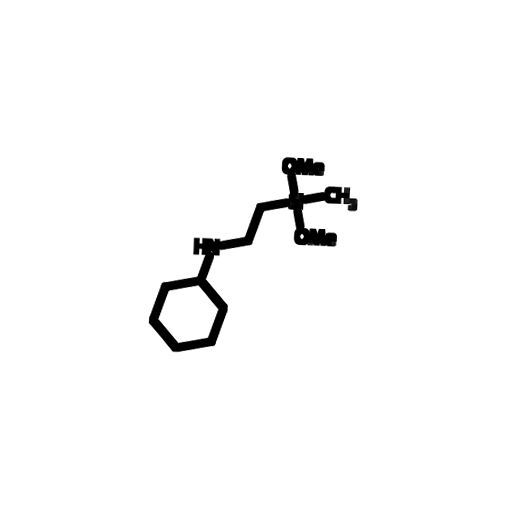 CO[Si](C)(CCNC1CCCCC1)OC